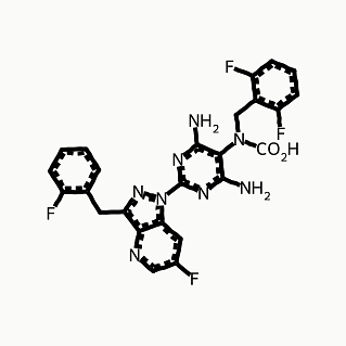 Nc1nc(-n2nc(Cc3ccccc3F)c3ncc(F)cc32)nc(N)c1N(Cc1c(F)cccc1F)C(=O)O